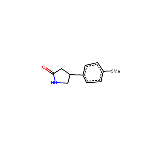 CSc1ccc(C2CNC(=O)C2)cc1